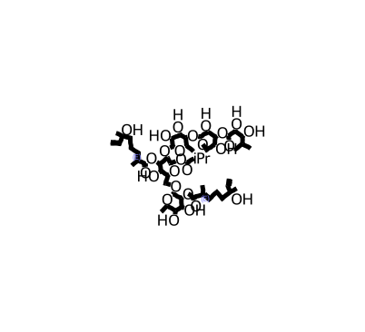 C=CC(C)(O)CC/C=C(\C)C(=O)OC1C(OCC2OC(OC(=O)C(C)C)C(OC3OC(C)C(OC4OCC(O)C(OC5OCC(C)C(O)C5O)C4O)C(O)C3O)C(OC(=O)/C(C)=C/CCC(C)(O)C=C)C2O)OC(C)C(O)C1O